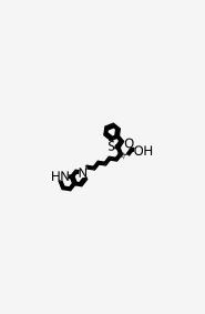 O=C(O)C[C@H](CCCCCCN1C=CC2=C(C1)NCCC2)c1cc2ccccc2s1